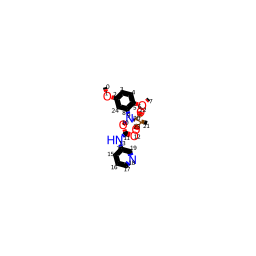 COc1ccc(OC)c(N(OC(=O)Nc2cccnc2)S(C)(=O)=O)c1